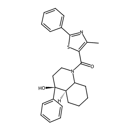 Cc1nc(-c2ccccc2)sc1C(=O)N1CC[C@@](O)(c2ccccc2)[C@@H]2CCCCC21